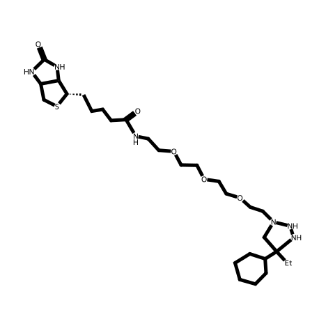 CCC1(C2CCCCC2)CN(CCOCCOCCOCCNC(=O)CCCC[C@@H]2SCC3NC(=O)NC32)NN1